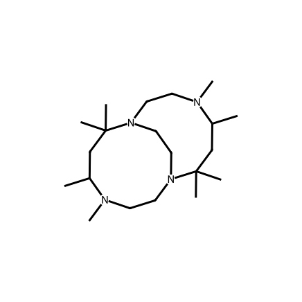 CC1CC(C)(C)N2CCN(C)C(C)CC(C)(C)N(CCN1C)CC2